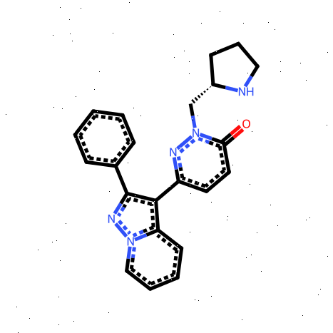 O=c1ccc(-c2c(-c3ccccc3)nn3ccccc23)nn1C[C@@H]1CCCN1